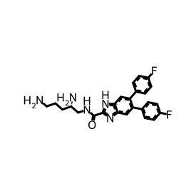 NCCC[C@H](N)CNC(=O)c1nc2cc(-c3ccc(F)cc3)c(-c3ccc(F)cc3)cc2[nH]1